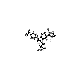 CC(=O)c1ccc(-c2cn(CC3(C)COC3)c3cc(-c4c(C)noc4C)cnc23)cc1